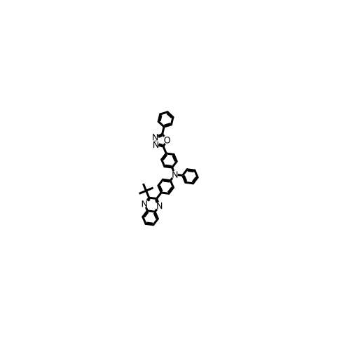 CC(C)(C)c1nc2ccccc2nc1-c1ccc(N(c2ccccc2)c2ccc(-c3nnc(-c4ccccc4)o3)cc2)cc1